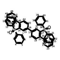 O=P(c1ccccc1)(c1ccccc1)c1cc(-c2ccc(-c3ncccn3)c(P(=O)(c3ccccc3)c3ccccc3)c2)ccc1-c1ncccn1